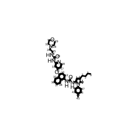 CCCCc1cc(NC(=O)Nc2ccc(Oc3ccnc(NC(=O)NCCN4CCOCC4)c3)c3ccccc23)n(-c2ccc(C)cc2)n1